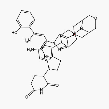 NC(N)=C(/C=C(\N)c1ccccc1O)n1cc(N2CC3COCC(C2)N3C2CCC(c3cccc4c3CCN4C3CCC(=O)NC3=O)CC2)cn1